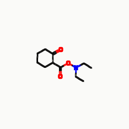 CCN(CC)OC(=O)C1CCCCC1=O